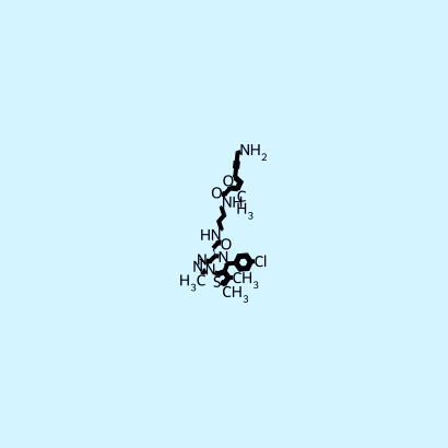 Cc1cc(C#CCN)oc1C(=O)NCCCCNC(=O)C[C@@H]1N=C(c2ccc(Cl)cc2)c2c(sc(C)c2C)-n2c(C)nnc21